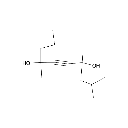 CCCC(C)(O)C#CC(C)(O)CC(C)C